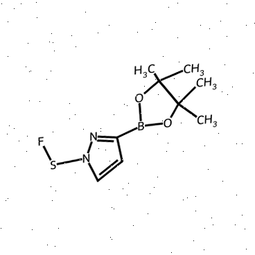 CC1(C)OB(c2ccn(SF)n2)OC1(C)C